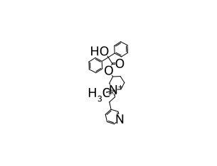 C[N@+]1(CCc2cccnc2)CCCC(OC(=O)C(O)(c2ccccc2)c2ccccc2)C1